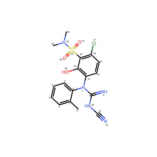 Cc1ccccc1N(C(=N)NC#N)c1ccc(Cl)c(S(=O)(=O)N(C)C)c1O